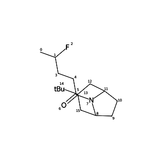 CC(F)CCC(=O)N1C2CCC1CC(C(C)(C)C)C2